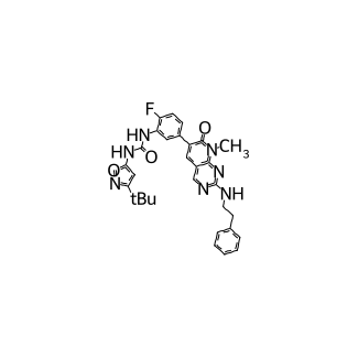 Cn1c(=O)c(-c2ccc(F)c(NC(=O)Nc3cc(C(C)(C)C)no3)c2)cc2cnc(NCCc3ccccc3)nc21